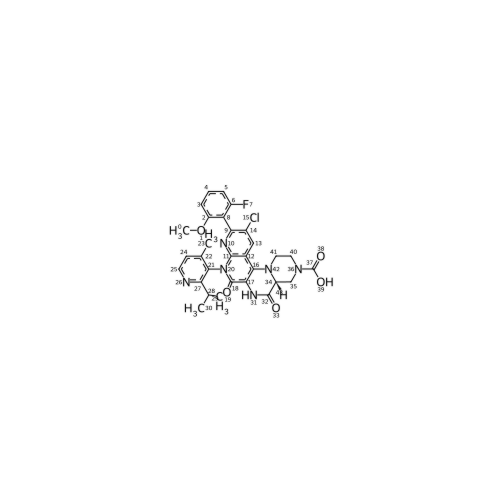 COc1cccc(F)c1-c1nc2c(cc1Cl)c1c(c(=O)n2-c2c(C)ccnc2C(C)C)NC(=O)[C@H]2CN(C(=O)O)CCN12